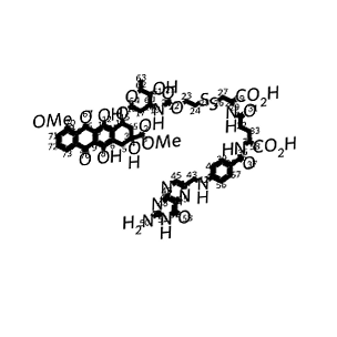 COC(=O)[C@]1(O)Cc2c(O)c3c(c(O)c2C(OC2CC(NC(=O)OCCSSCC(NC(=O)CCC(NC(=O)c4ccc(NCc5cnc6nc(N)[nH]c(=O)c6n5)cc4)C(=O)O)C(=O)O)C(O)C(C)O2)C1)C(=O)c1c(OC)cccc1C3=O